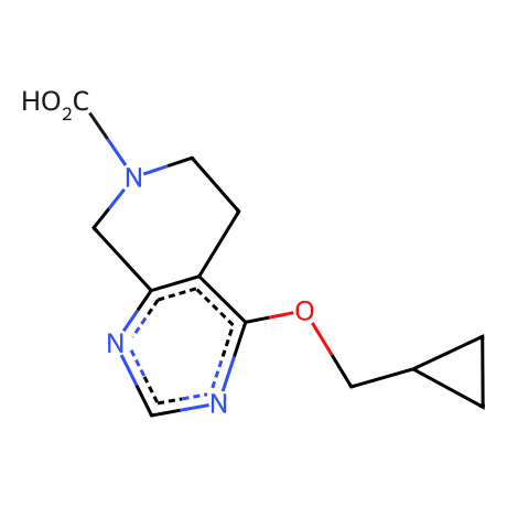 O=C(O)N1CCc2c(ncnc2OCC2CC2)C1